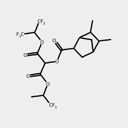 CC1C2CC(C(=O)OC(C(=O)OC(C)C(F)(F)F)C(=O)OC(C(F)(F)F)C(F)(F)F)C(C2)C1C